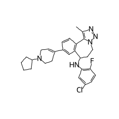 Cc1nnn2c1-c1ccc(C3=CCN(C4CCCC4)CC3)cc1C(Nc1cc(Cl)ccc1F)CC2